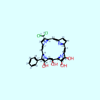 ClCCl.OC1=C(O)C2=NC1=CC1=NC(=CC3=NC(=CC4=NC(=C2O)C(O)=C4c2ccccc2)C=C3)C=C1